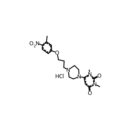 Cc1cc(OCCCN2CCN(c3cc(=O)n(C)c(=O)n3C)CC2)ccc1[N+](=O)[O-].Cl